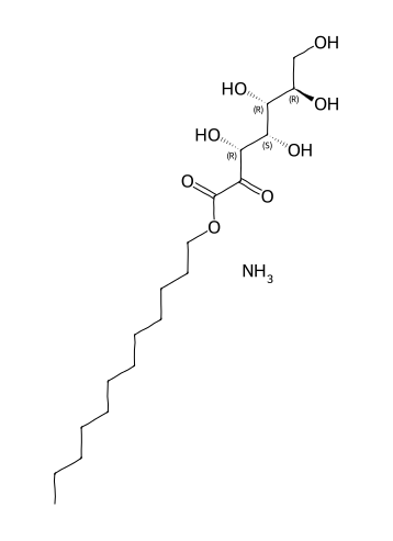 CCCCCCCCCCCCOC(=O)C(=O)[C@H](O)[C@@H](O)[C@H](O)[C@H](O)CO.N